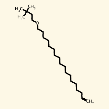 C=CCCCCCCCCCCCCCCCCOCCC(C)(C)C